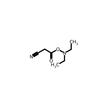 CCN(CC)OC(=O)CC#N